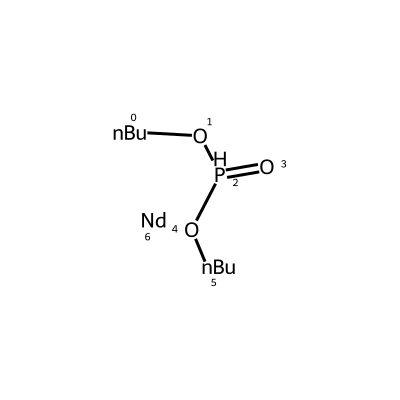 CCCCO[PH](=O)OCCCC.[Nd]